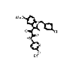 CCOc1ccc(NC(=O)C(=O)c2c(C)n(Cc3ccc(Cl)cc3)c3ccc(OC)cc23)cn1